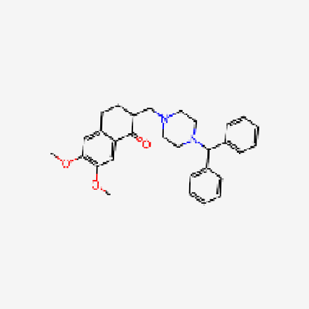 COc1cc2c(cc1OC)C(=O)C(CN1CCN(C(c3ccccc3)c3ccccc3)CC1)CC2